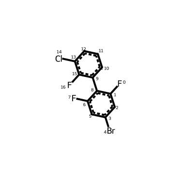 Fc1cc(Br)cc(F)c1-c1[c]ccc(Cl)c1F